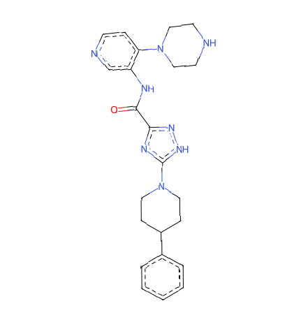 O=C(Nc1cnccc1N1CCNCC1)c1n[nH]c(N2CCC(c3ccccc3)CC2)n1